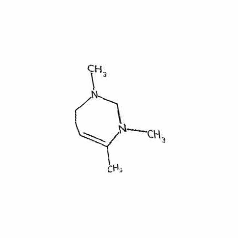 CC1=CCN(C)CN1C